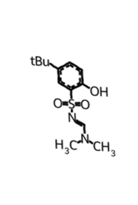 CN(C)/C=N/S(=O)(=O)c1cc(C(C)(C)C)ccc1O